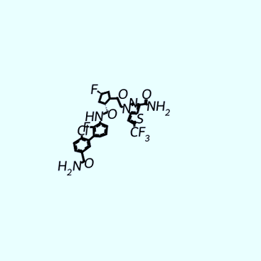 NC(=O)c1ccc(Cl)c(-c2cccc(NC(=O)[C@@H]3C[C@@H](F)CC3C(=O)Cn3nc(C(N)=O)c4sc(C(F)(F)F)cc43)c2F)c1